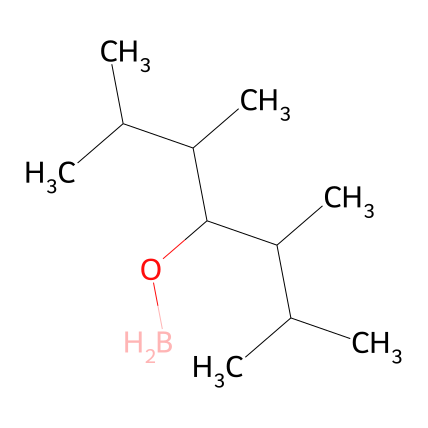 BOC(C(C)C(C)C)C(C)C(C)C